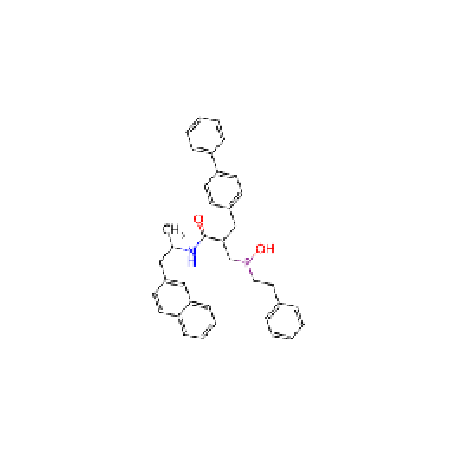 CC(Cc1ccc2ccccc2c1)NC(=O)C(Cc1ccc(-c2ccccc2)cc1)CP(O)CCc1ccccc1